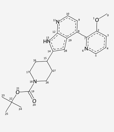 COc1cccnc1-c1ccnc2[nH]c(C3CCN(C(=O)OC(C)(C)C)CC3)cc12